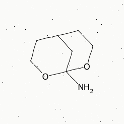 NC12CC(CCO1)CCO2